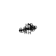 C=Cc1cc(C(=O)Nc2ccc(C(=N)NC(=O)OCCCC(O)C(=O)OC(C)(C)C)cc2)c(-c2ccc(C(=O)NCC3CC3)nc2C(=O)OC(C)OC(=O)C(C)C)cc1OC